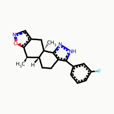 C[C@H]1c2oncc2C[C@@]2(C)c3n[nH]c(-c4cccc(F)c4)c3CC[C@H]12